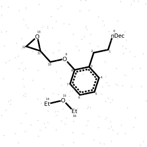 CCCCCCCCCCCCc1ccccc1OCC1CO1.CCOCC